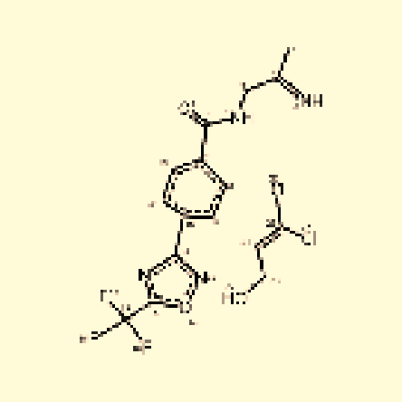 CC(=N)CNC(=O)c1ccc(-c2noc(C(F)(F)F)n2)cc1.OCC=C(Cl)Cl